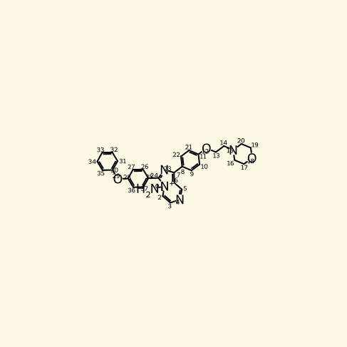 N[N+]12C=CN=CC1=C(c1ccc(OCCN3CCOCC3)cc1)N=C2c1ccc(Oc2ccccc2)cc1